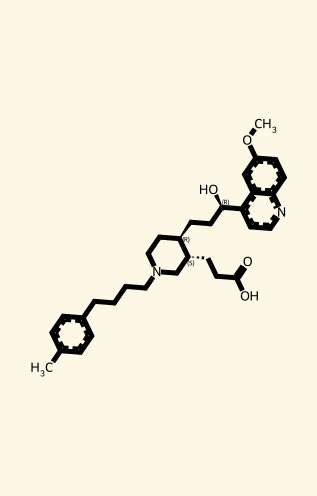 COc1ccc2nccc([C@H](O)CC[C@@H]3CCN(CCCCc4ccc(C)cc4)C[C@H]3CCC(=O)O)c2c1